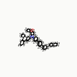 c1ccc(-c2ccccc2-c2ccc(N(c3ccc(-c4ccc(-c5cccc(-c6ccc7ccccc7c6)c5)cc4)cc3)c3ccc4oc5ccccc5c4c3)cc2)cc1